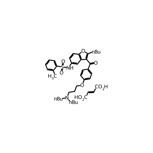 CCCCc1oc2ccc(NS(=O)(=O)c3ccccc3C)cc2c1C(=O)c1ccc(OCCCN(CCCC)CCCC)cc1.O=C(O)C=CC(=O)O